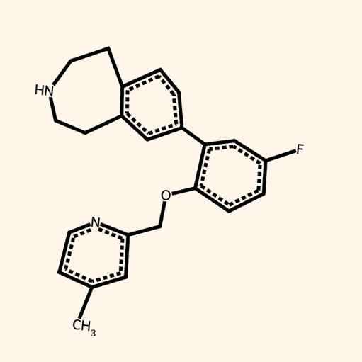 Cc1ccnc(COc2ccc(F)cc2-c2ccc3c(c2)CCNCC3)c1